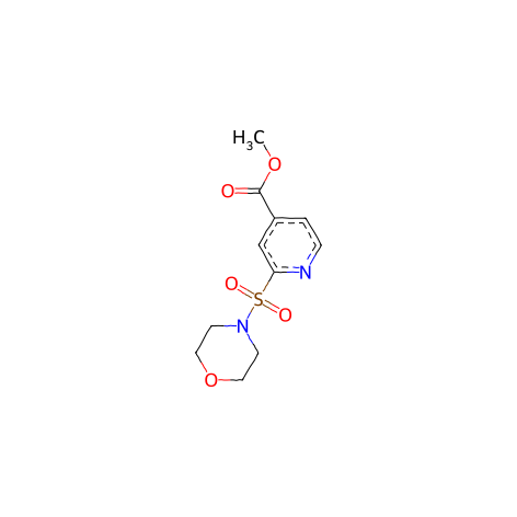 COC(=O)c1ccnc(S(=O)(=O)N2CCOCC2)c1